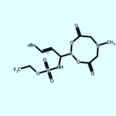 CCCC/C=C/C(NS(=O)(=O)OCC(F)(F)F)B1OC(=O)CN(C)CC(=O)O1